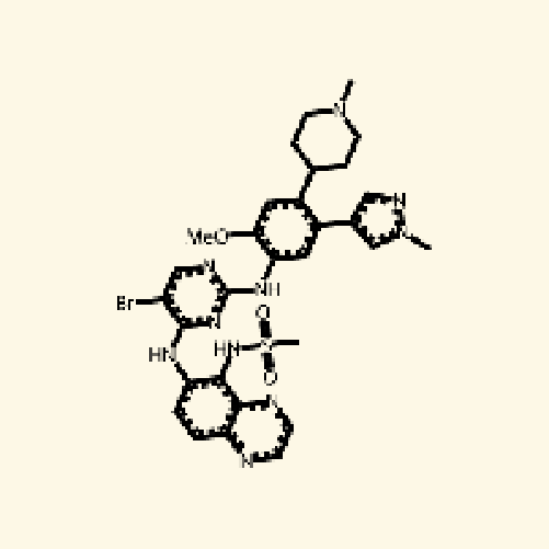 COc1cc(C2CCN(C)CC2)c(-c2cnn(C)c2)cc1Nc1ncc(Br)c(Nc2ccc3nccnc3c2NS(C)(=O)=O)n1